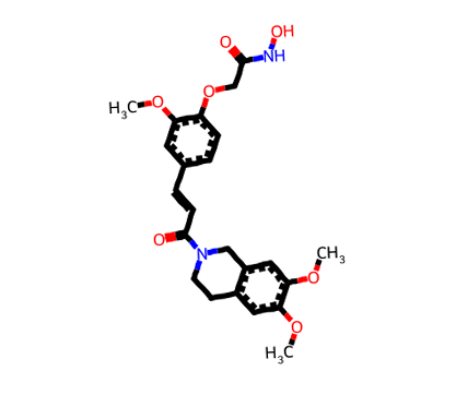 COc1cc2c(cc1OC)CN(C(=O)/C=C/c1ccc(OCC(=O)NO)c(OC)c1)CC2